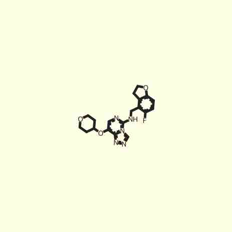 Fc1ccc2c(c1CNc1ncc(OC3CCOCC3)c3nncn13)CCO2